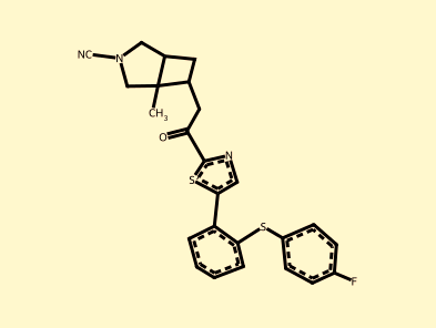 CC12CN(C#N)CC1CC2CC(=O)c1ncc(-c2ccccc2Sc2ccc(F)cc2)s1